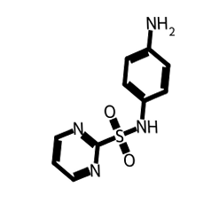 Nc1ccc(NS(=O)(=O)c2ncccn2)cc1